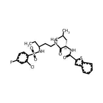 CCC(CCNC(=O)[C@H](CC(C)C)NC(=O)c1cc2ccccc2s1)NS(=O)(=O)c1ccc(F)cc1Cl